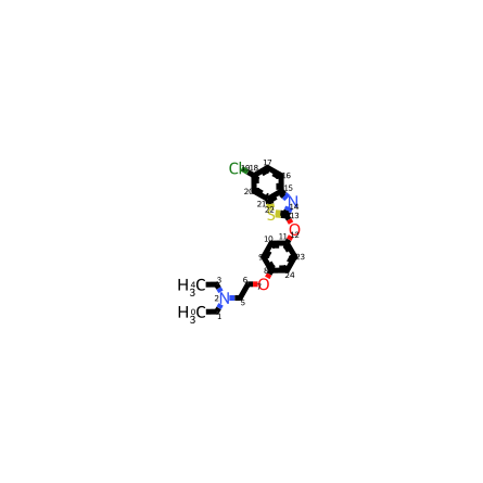 CCN(CC)CCOc1ccc(Oc2nc3ccc(Cl)cc3s2)cc1